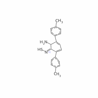 Cc1ccc(C2=CC=C(c3ccc(C)cc3)C(N)/C2=N\S)cc1